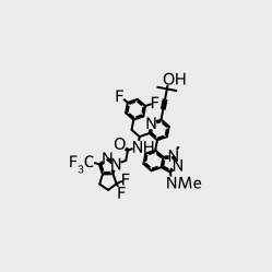 CNc1nn(C)c2c(-c3ccc(C#CC(C)(C)O)nc3C(Cc3cc(F)cc(F)c3)NC(=O)Cn3nc(C(F)(F)F)c4c3C(F)(F)CC4)cccc12